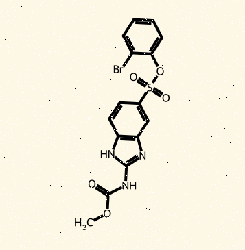 COC(=O)Nc1nc2cc(S(=O)(=O)Oc3ccccc3Br)ccc2[nH]1